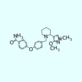 COc1nn(C)cc1C1CCCCN1Cc1ccc(Oc2ccc(C(N)=O)cc2)cc1